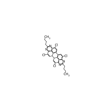 CCCCc1nc2c3c4c(cc(Cl)c3n1)-c1cc(Cl)c3nc(CCCC)nc5c3c1C(C=C5Cl)C4C=C2Cl